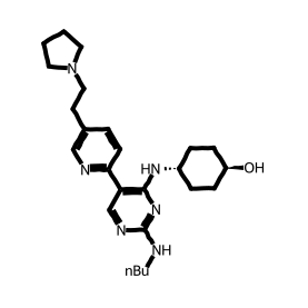 CCCCNc1ncc(-c2ccc(CCN3CCCC3)cn2)c(N[C@H]2CC[C@H](O)CC2)n1